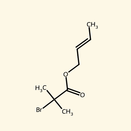 CC=CCOC(=O)C(C)(C)Br